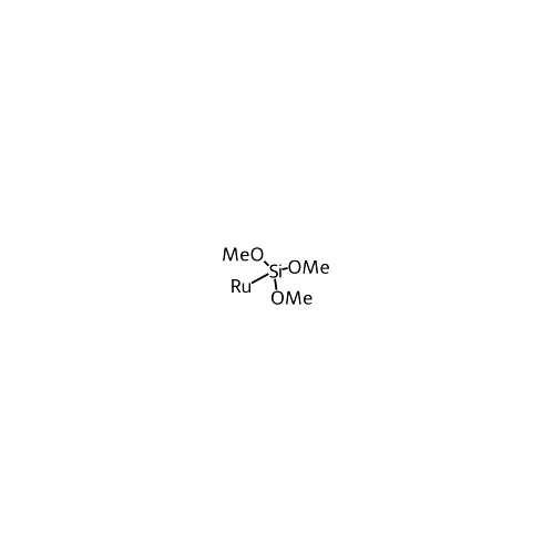 CO[Si]([Ru])(OC)OC